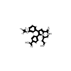 O=C(O)c1ccc(-c2c(-c3cccc(OC(F)(F)F)c3)cc3n2C(CCO)CNC3=O)cc1